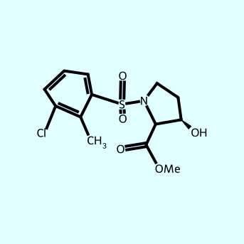 COC(=O)C1[C@H](O)CCN1S(=O)(=O)c1cccc(Cl)c1C